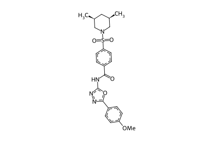 COc1ccc(-c2nnc(NC(=O)c3ccc(S(=O)(=O)N4C[C@H](C)C[C@H](C)C4)cc3)o2)cc1